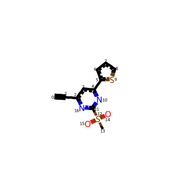 C#Cc1cc(-c2cccs2)nc(S(C)(=O)=O)n1